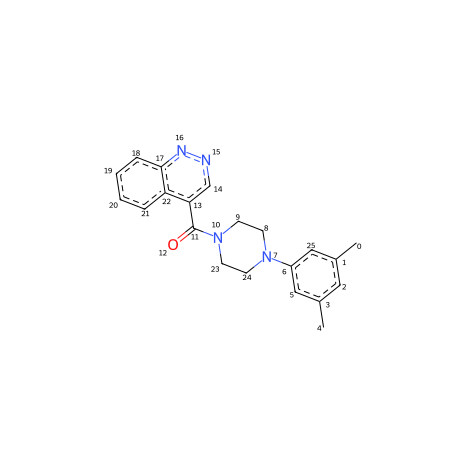 Cc1cc(C)cc(N2CCN(C(=O)c3cnnc4ccccc34)CC2)c1